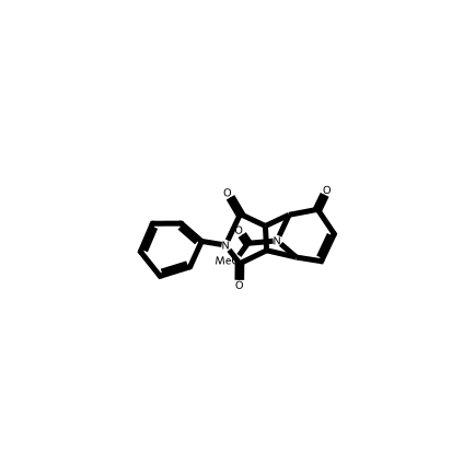 COC(=O)N1C2C=CC(=O)C1C1C(=O)N(c3ccccc3)C(=O)C12